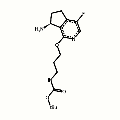 CC(C)(C)OC(=O)NCCCOc1ncc(F)c2c1[C@@H](N)CC2